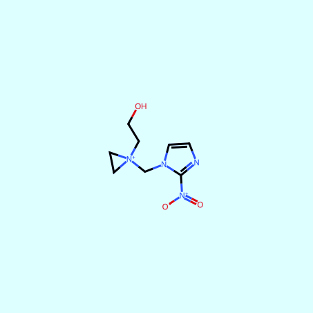 O=[N+]([O-])c1nccn1C[N+]1(CCO)CC1